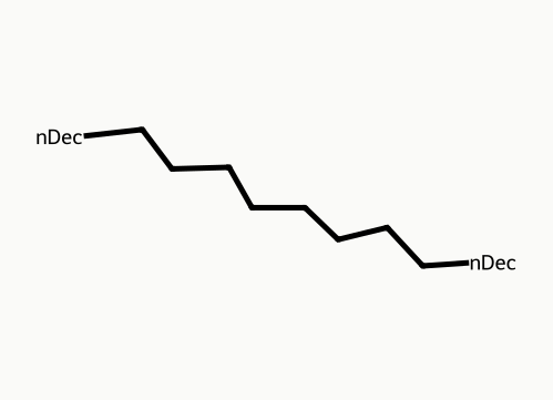 CCC[CH]CCCCCCCCCCCCCCCCCCCCCCCC